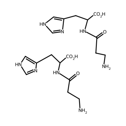 NCCC(=O)NC(Cc1c[nH]cn1)C(=O)O.NCCC(=O)NC(Cc1c[nH]cn1)C(=O)O